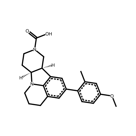 COc1ccc(-c2cc3c4c(c2)[C@@H]2CN(C(=O)O)CC[C@@H]2N4CCC3)c(C)c1